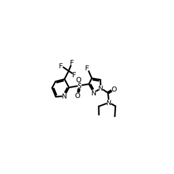 CCN(CC)C(=O)n1cc(F)c(S(=O)(=O)c2ncccc2C(F)(F)F)n1